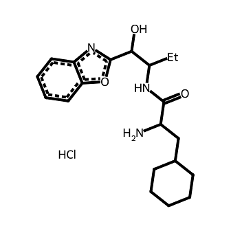 CCC(NC(=O)C(N)CC1CCCCC1)C(O)c1nc2ccccc2o1.Cl